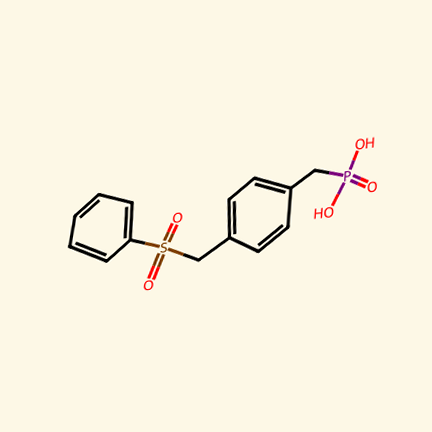 O=P(O)(O)Cc1ccc(CS(=O)(=O)c2ccccc2)cc1